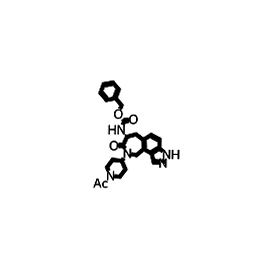 CC(=O)N1CCC(N2Cc3c(ccc4[nH]ncc34)C[C@@H](NC(=O)OCc3ccccc3)C2=O)CC1